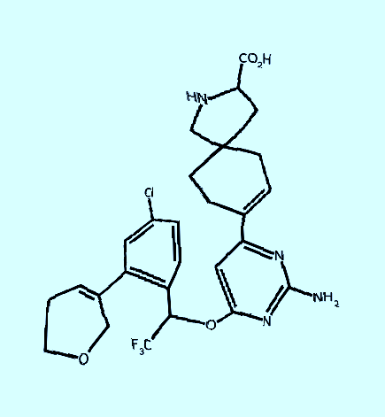 Nc1nc(OC(c2ccc(Cl)cc2C2=CCCOC2)C(F)(F)F)cc(C2=CCC3(CC2)CNC(C(=O)O)C3)n1